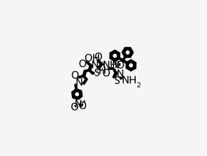 Nc1nc(C(=NOC(c2ccccc2)(c2ccccc2)c2ccccc2)C(=O)N[C@@H]2C(=O)N3C(C(=O)O)=C(C=C4CCN(Cc5ccc([N+](=O)[O-])cc5)C4=O)CS[C@H]23)cs1